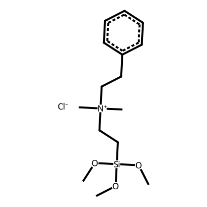 CO[Si](CC[N+](C)(C)CCc1ccccc1)(OC)OC.[Cl-]